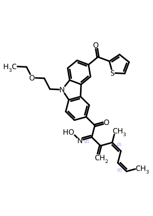 C=C(/C(C)=C\C=C/C)/C(=N/O)C(=O)c1ccc2c(c1)c1cc(C(=O)c3cccs3)ccc1n2CCOCC